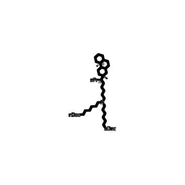 CCCCCCCCCCCCCCCCN(CCCCCCCCCCCCCCCC)CCCCC[C@@H](CCC)[C@@]1(C)CCC2C(CCC3CCCC[C@@]32C)C1